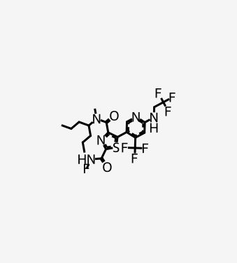 CCCC(CCC)N(C)C(=O)c1nc(C(=O)NF)sc1-c1cnc(NCC(F)(F)F)cc1C(F)(F)F